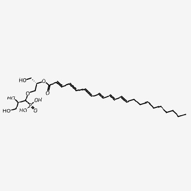 CCCCCCCCCC=CC=CC=CC=CC=CC=CC(=O)O[C@@H](CO)COC(C(O)CO)P(=O)(O)O